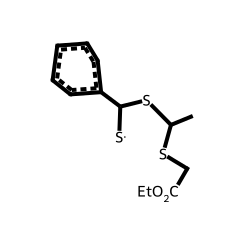 CCOC(=O)CSC(C)SC([S])c1ccccc1